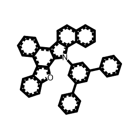 c1ccc(-c2cc(-c3ccccc3)cc(-n3c4c5ccccc5ccc4c4c5ccccc5c5c6ccccc6oc5c43)c2)cc1